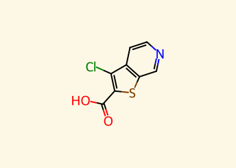 O=C(O)c1sc2cnccc2c1Cl